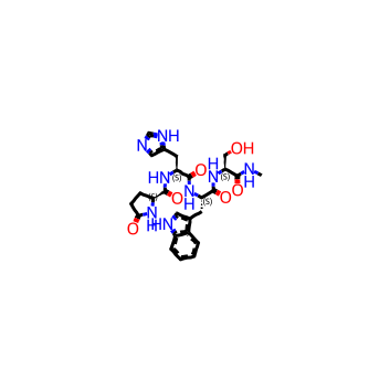 CNC(=O)[C@H](CO)NC(=O)[C@H](Cc1c[nH]c2ccccc12)NC(=O)[C@H](Cc1cnc[nH]1)NC(=O)[C@@H]1CCC(=O)N1